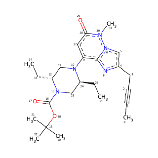 CC#CCc1cn2c(n1)c(N1C[C@@H](CC)N(C(=O)OC(C)(C)C)C[C@@H]1CC)cc(=O)n2C